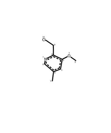 COc1cc(C)cnc1CCl